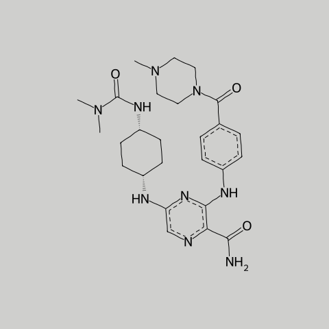 CN1CCN(C(=O)c2ccc(Nc3nc(N[C@H]4CC[C@@H](NC(=O)N(C)C)CC4)cnc3C(N)=O)cc2)CC1